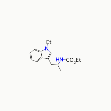 CCOC(=O)NC(C)Cc1cn(CC)c2ccccc12